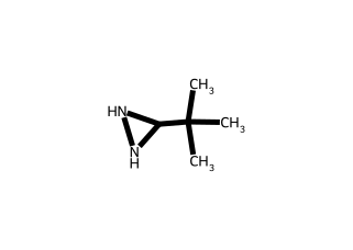 CC(C)(C)C1NN1